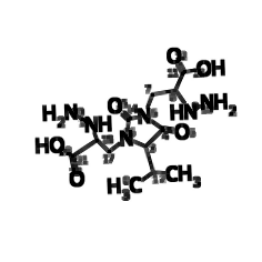 CC(C)C1C(=O)N(CC(NN)C(=O)O)C(=O)N1CC(NN)C(=O)O